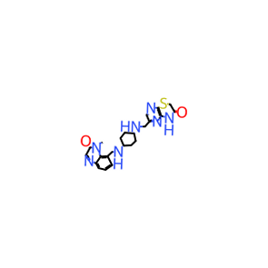 Cn1c(=O)cnc2cccc(CNC3CCC(NCc4cnc5c(n4)NC(=O)CS5)CC3)c21